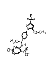 COc1cc(C(F)(F)F)nn1-c1ccc(C(C)Nc2nc(Cl)ncc2[N+](=O)[O-])cc1